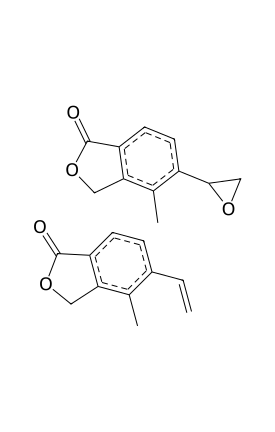 C=Cc1ccc2c(c1C)COC2=O.Cc1c(C2CO2)ccc2c1COC2=O